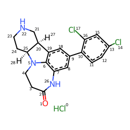 Cl.O=C1CCN2c3c(cc(-c4ccc(Cl)cc4Cl)cc3[C@@H]3CNCC[C@@H]32)N1